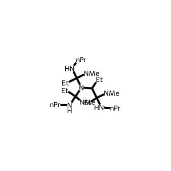 CCCNC(CC)(NC)C(CC)N(C(CC)(NC)NCCC)C(CC)(NC)NCCC